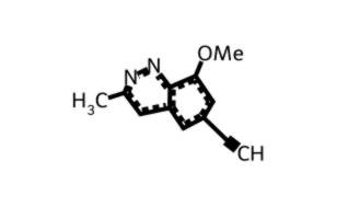 C#Cc1cc(OC)c2nnc(C)cc2c1